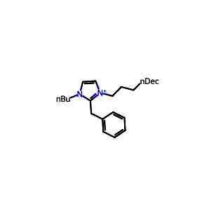 CCCCCCCCCCCCC[n+]1ccn(CCCC)c1Cc1ccccc1